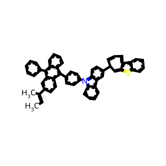 C/C=C(\C)c1ccc2c(-c3ccc(-n4c5ccccc5c5cc(C6C=CC=c7c(sc8ccccc78)=C6)ccc54)cc3)c3ccccc3c(-c3ccccc3)c2c1